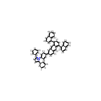 C1=CCC(c2ccc(-c3ccccc3)n2-c2ccc(-c3ccc4cc5c(-c6cccc7ccccc67)ccc(-c6cccc7ccccc67)c5cc4c3)cc2)C=C1